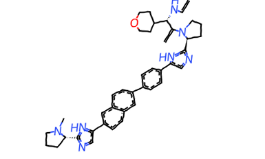 C=CN[C@H](C(=C)N1CCC[C@H]1c1ncc(-c2ccc(-c3ccc4cc(-c5cnc([C@@H]6CCCN6C)[nH]5)ccc4c3)cc2)[nH]1)C1CCOCC1